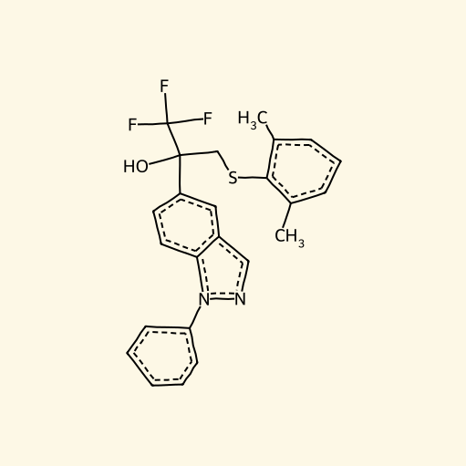 Cc1cccc(C)c1SCC(O)(c1ccc2c(cnn2-c2ccccc2)c1)C(F)(F)F